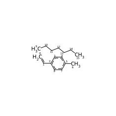 C=Cc1ccc(C)cc1.CCCCCCC